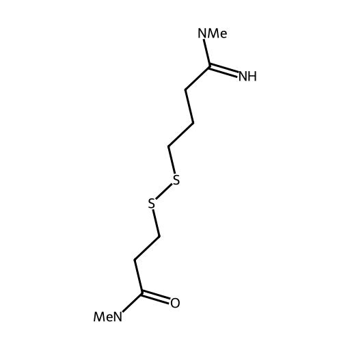 CNC(=N)CCCSSCCC(=O)NC